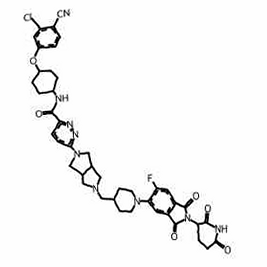 N#Cc1ccc(OC2CCC(NC(=O)c3ccc(N4CC5CN(CC6CCN(c7cc8c(cc7F)C(=O)N(C7CCC(=O)NC7=O)C8=O)CC6)CC5C4)nn3)CC2)cc1Cl